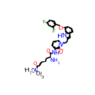 CN(C)C(=O)/C=C/CC[C@H](N)C(=O)Nc1cccn(Cc2cc3cccc(OCc4ccc(F)cc4F)c3[nH]2)c1=O